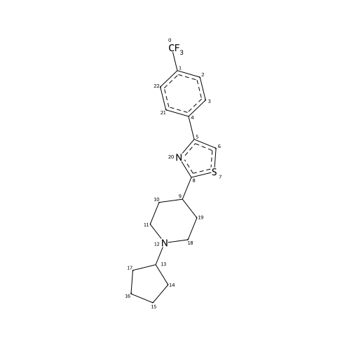 FC(F)(F)c1ccc(-c2csc(C3CCN(C4CCCC4)CC3)n2)cc1